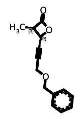 C[C@H]1C(=O)O[C@H]1C#CCOCc1ccccc1